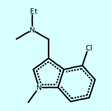 CCN(C)Cc1cn(C)c2cccc(Cl)c12